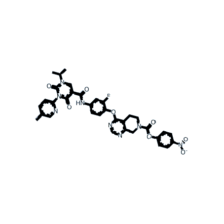 Cc1ccc(-n2c(=O)c(C(=O)Nc3ccc(Oc4ncnc5c4CCN(C(=O)Oc4ccc([N+](=O)[O-])cc4)C5)c(F)c3)cn(C(C)C)c2=O)nc1